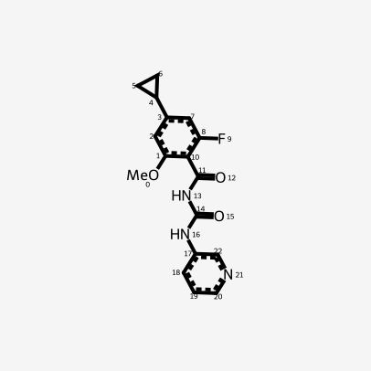 COc1cc(C2CC2)cc(F)c1C(=O)NC(=O)Nc1cccnc1